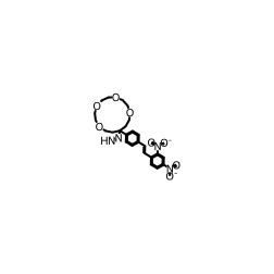 N=NC1(c2ccc(C=Cc3ccc([N+](=O)[O-])cc3[N+](=O)[O-])cc2)CCOCCOCCOCCOCC1